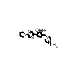 COc1cc(CN2CCN(C)CC2)ccc1-c1cnc(N2CCCC2)cn1